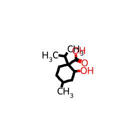 CC1CCC(C(=O)O)(C(C)C)C(O)C1